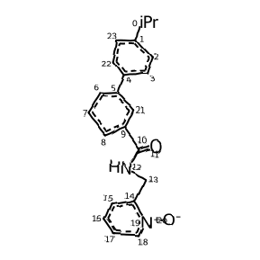 CC(C)c1ccc(-c2cccc(C(=O)NCc3cccc[n+]3[O-])c2)cc1